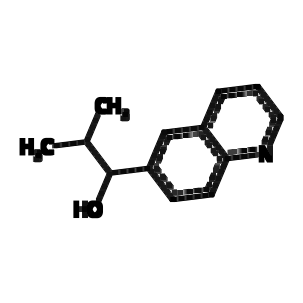 CC(C)C(O)c1ccc2ncccc2c1